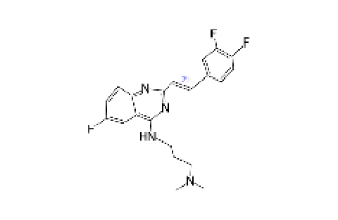 CN(C)CCCNc1nc(/C=C/c2ccc(F)c(F)c2)nc2ccc(F)cc12